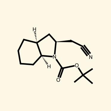 CC(C)(C)OC(=O)N1[C@H](CC#N)C[C@@H]2CCCC[C@@H]21